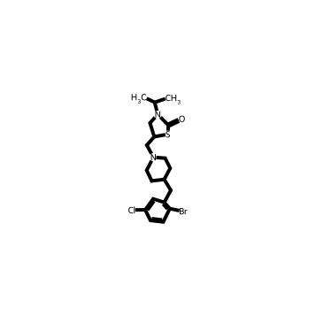 CC(C)N1CC(CN2CCC(Cc3cc(Cl)ccc3Br)CC2)SC1=O